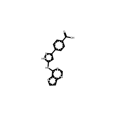 O=C(O)c1ccc(-c2cc(Nc3ncnc4ccsc34)[nH]n2)cc1